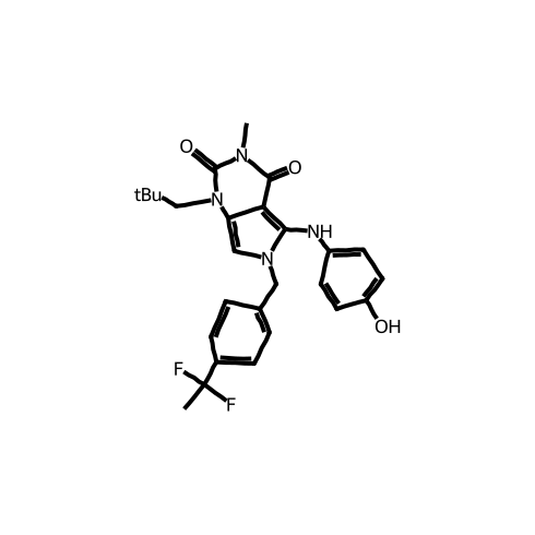 Cn1c(=O)c2c(Nc3ccc(O)cc3)n(Cc3ccc(C(C)(F)F)cc3)cc2n(CC(C)(C)C)c1=O